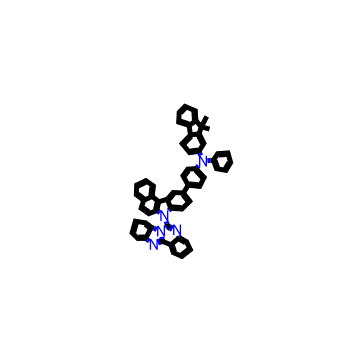 CC1(C)c2ccccc2-c2ccc(N(c3ccccc3)c3ccc(-c4ccc5c(c4)c4c6ccccc6ccc4n5-c4nc5ccccc5c5nc6ccccc6n45)cc3)cc21